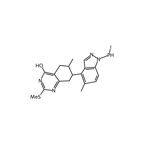 CSc1nc(O)c2c(n1)CC(c1c(C)ccc3c1cnn3PI)C(C)C2